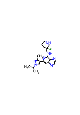 Cc1nn(C(C)C)cc1-c1cc2nccnc2c(NCC2(F)CCCNC2)n1